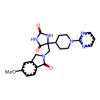 COc1ccc2c(c1)CN(CC1(C3CCN(c4ncccn4)CC3)NC(=O)NC1=O)C2=O